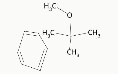 COC(C)(C)C.c1ccccc1